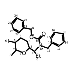 CCC(C1CCC(I)C(C)O1)N(Cc1ccccc1)C(=O)OCc1ccccc1